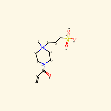 C=CC(=O)N1CC[N+](C)(CCCS(=O)(=O)[O-])CC1